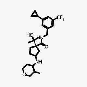 CC1COCCC1NC1CC[C@@](C(=O)NCc2cc(C3CC3)cc(C(F)(F)F)c2)(C(C)(C)O)C1